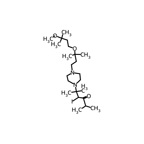 COC(C)(C)CCOC(C)(C)CCN1CCN(C(C)(C)C(I)C(=O)C(C)C)CC1